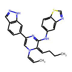 C/C=C\N1C=C(c2ccc3cn[nH]c3c2)N=C(Nc2ccc3scnc3c2)/C1=C\CCC